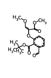 CO/C=C(/Oc1cccc(C=O)c1C(=O)OC(C)(C)C)C(=O)OC